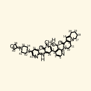 Cn1cc(-c2ccnc(N3CCc4c(cc5n4CCCC5)C3=O)c2CO)cc(Nc2ccc(N3CCN(C4COC4)CC3)cn2)c1=O